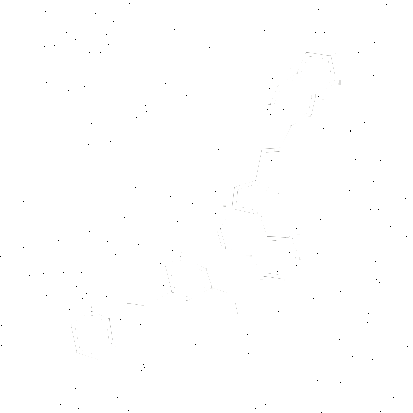 COc1cc(OCc2ccccn2)ccc1/C=C/c1cc(/C=C/c2ccc3cc[nH]c3c2)nn1-c1ccccn1